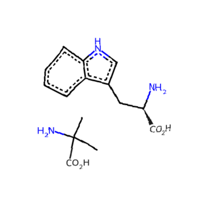 CC(C)(N)C(=O)O.N[C@H](Cc1c[nH]c2ccccc12)C(=O)O